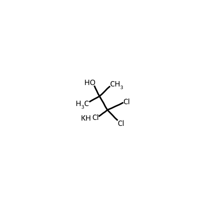 CC(C)(O)C(Cl)(Cl)Cl.[KH]